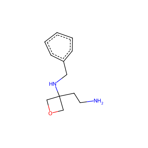 NCCC1(NCc2ccccc2)COC1